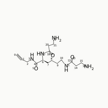 C#CCNC(=O)[C@H](CCCCNC(=O)CCN)NC(=O)CCN